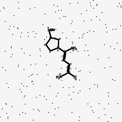 CNC1CCN(/C(N)=C/C=C(\N)Cl)C1